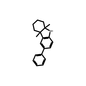 CC12CCCCC1(C)c1cc(-c3ccccc3)ccc1N2